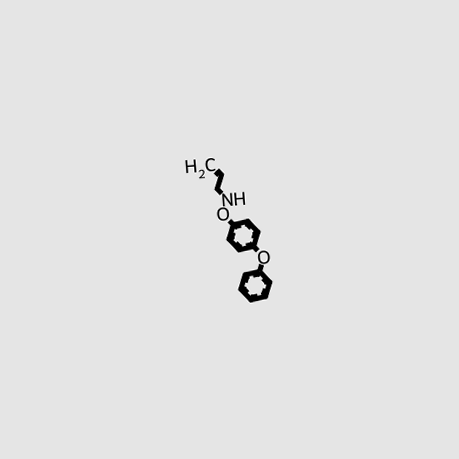 C=CCNOc1ccc(Oc2ccccc2)cc1